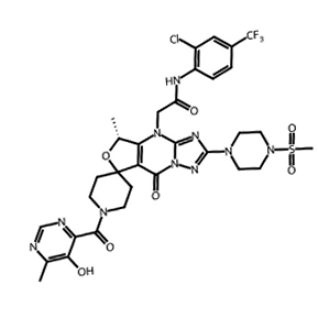 Cc1ncnc(C(=O)N2CCC3(CC2)O[C@H](C)c2c3c(=O)n3nc(N4CCN(S(C)(=O)=O)CC4)nc3n2CC(=O)Nc2ccc(C(F)(F)F)cc2Cl)c1O